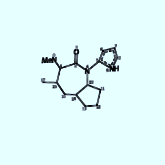 CNC1C(=O)N(c2ccc[nH]2)C2CCCC2CC1C